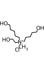 C[N+](CCO)(CCCCCO)CCCCCO.[Cl-]